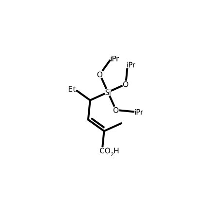 CCC(C=C(C)C(=O)O)[Si](OC(C)C)(OC(C)C)OC(C)C